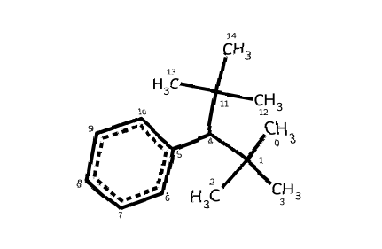 CC(C)(C)C(c1[c]cccc1)C(C)(C)C